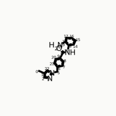 Cc1cnn(Cc2ccc(C(=O)Nc3ccccc3N)cc2)c1